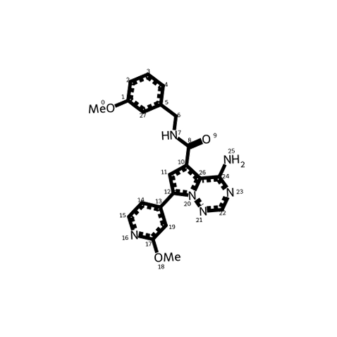 COc1cccc(CNC(=O)c2cc(-c3ccnc(OC)c3)n3ncnc(N)c23)c1